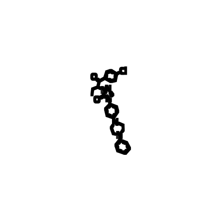 CCC(C(=O)c1ccc(Cl)cc1)n1ncn(-c2ccc(N3CCN(c4ccccc4)CC3)cc2)c1=O